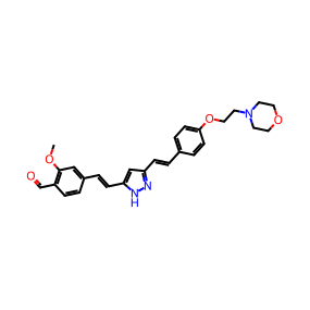 COc1cc(/C=C/c2cc(/C=C/c3ccc(OCCN4CCOCC4)cc3)n[nH]2)ccc1C=O